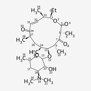 CC[C@H]1OC(=O)[C@H](C)C(=O)[C@H](C)[C@@H](OC2OC(C)C[C@H](N(C)C)C2O)[C@@H](C)C[C@@H](C)C(=O)/C=C/[C@H]1C